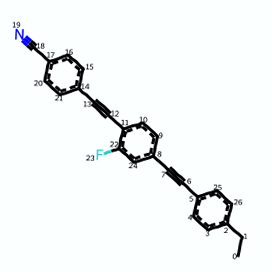 CCc1ccc(C#Cc2ccc(C#Cc3ccc(C#N)cc3)c(F)c2)cc1